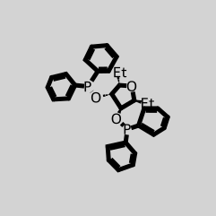 CC[C@@H]1O[C@@H](CC)[C@@H](OP(c2ccccc2)c2ccccc2)[C@@H]1OP(c1ccccc1)c1ccccc1